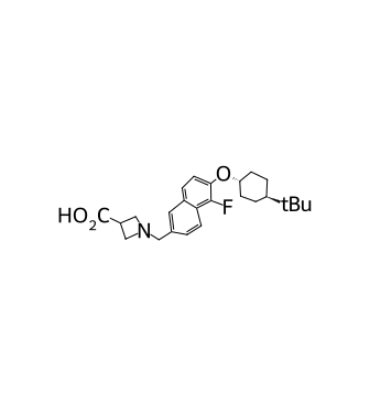 CC(C)(C)[C@H]1CC[C@H](Oc2ccc3cc(CN4CC(C(=O)O)C4)ccc3c2F)CC1